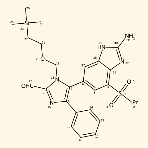 CC(C)S(=O)(=O)c1cc(-c2c(-c3ccccc3)nc(C=O)n2COCC[Si](C)(C)C)cc2[nH]c(N)nc12